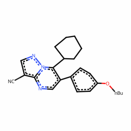 CCCCOc1ccc(-c2cnc3c(C#N)cnn3c2C2CCCCC2)cc1